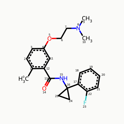 Cc1ccc(OCCN(C)C)cc1C(=O)NC1(c2ccccc2F)CC1